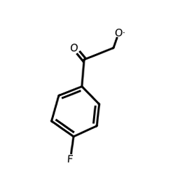 [O]CC(=O)c1ccc(F)cc1